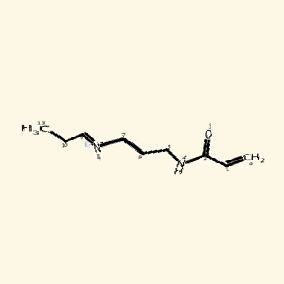 C=CC(=O)NCCC/N=C/CC